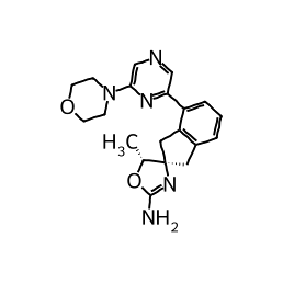 C[C@H]1OC(N)=N[C@@]12Cc1cccc(-c3cncc(N4CCOCC4)n3)c1C2